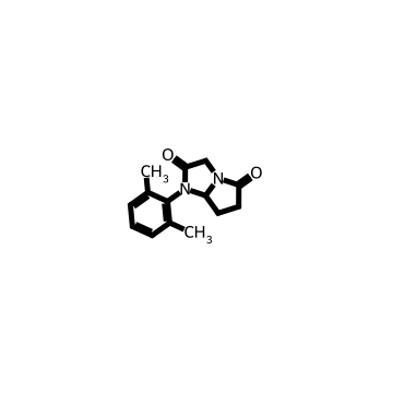 Cc1cccc(C)c1N1C(=O)CN2C(=O)CCC21